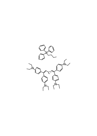 CCCC[B-](c1ccccc1)(c1ccccc1)c1ccccc1.CCN(CC)c1ccc(C(=C[CH+]C=C(c2ccc(N(CC)CC)cc2)c2ccc(N(CC)CC)cc2)c2ccc(N(CC)CC)cc2)cc1